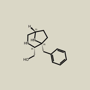 OC[C@@H]1NC[C@@H]2CC[C@]1(Cc1ccccc1)N2